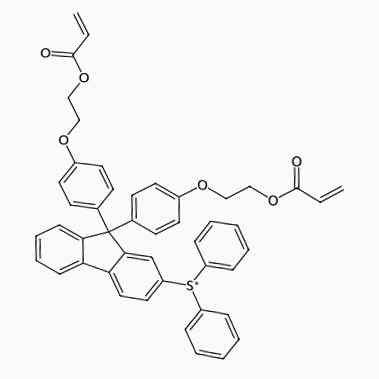 C=CC(=O)OCCOc1ccc(C2(c3ccc(OCCOC(=O)C=C)cc3)c3ccccc3-c3ccc([S+](c4ccccc4)c4ccccc4)cc32)cc1